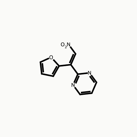 O=[N+]([O-])C=C(c1ncccn1)c1ccco1